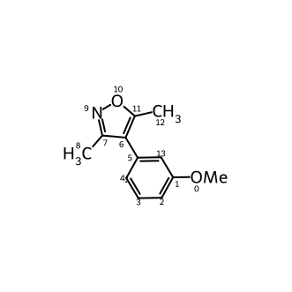 COc1cc[c]c(-c2c(C)noc2C)c1